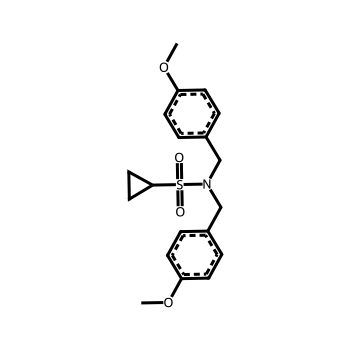 COc1ccc(CN(Cc2ccc(OC)cc2)S(=O)(=O)C2CC2)cc1